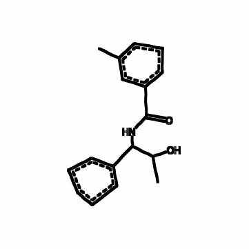 Cc1cccc(C(=O)NC(c2ccccc2)C(C)O)c1